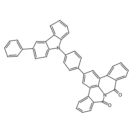 O=c1c2ccccc2c2cc(-c3ccc(-n4c5ccccc5c5cc(-c6ccccc6)ccc54)cc3)cc3c4ccccc4c(=O)n1c23